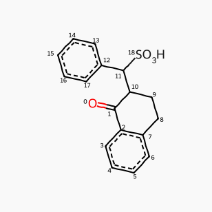 O=C1c2ccccc2CCC1C(c1ccccc1)S(=O)(=O)O